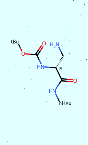 CCCCCCNC(=O)[C@@H](CN)NC(=O)OC(C)(C)C